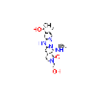 CC(O)c1ccnc(Nc2cc3ccn(CCO)c(=O)c3c(NC(C)(C)C)n2)c1